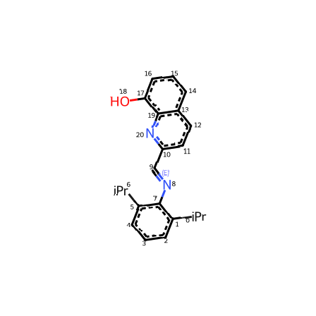 CC(C)c1cccc(C(C)C)c1/N=C/c1ccc2cccc(O)c2n1